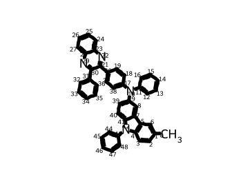 Cc1ccc2c(c1)c1cc(N(c3ccccc3)c3ccc(-c4nc5ccccc5nc4-c4ccccc4)cc3)ccc1n2-c1ccccc1